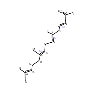 CC(=O)/C=C/C/C(C)=C/C/C=C(\C)CCC=C(C)C